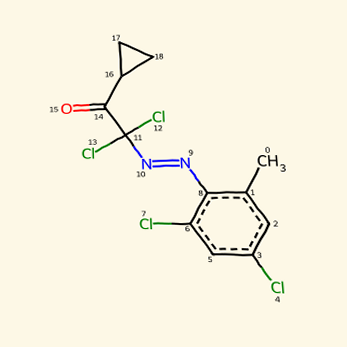 Cc1cc(Cl)cc(Cl)c1N=NC(Cl)(Cl)C(=O)C1CC1